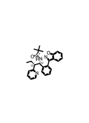 CC[C@H](c1ccccn1)[C@H](N[S@@+]([O-])C(C)(C)C)c1ccccc1-c1noc2ccccc12